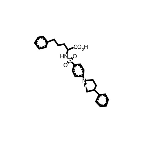 O=C(O)C(CCCc1ccccc1)NS(=O)(=O)c1ccc(N2CCC(c3ccccc3)CC2)cc1